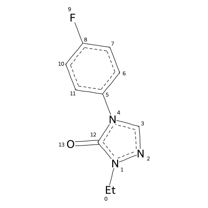 CCn1ncn(-c2ccc(F)cc2)c1=O